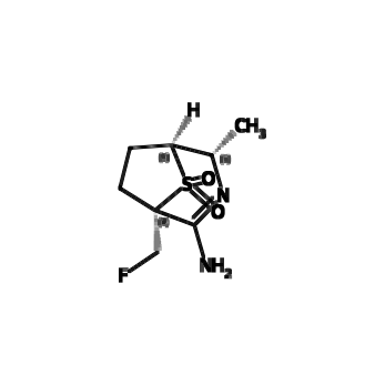 C[C@@H]1N=C(N)[C@@]2(CF)CC[C@@H]1S2(=O)=O